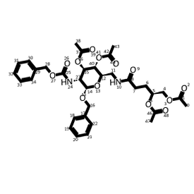 CC(=O)OC[C@H](CCC(=O)NC[C@H]1O[C@H](OCc2ccccc2)[C@H](NC(=O)OCc2ccccc2)[C@@H](OC(C)=O)[C@@H]1OC(C)=O)OC(C)=O